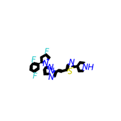 Fc1ccc(F)c([C@H]2C[C@H](F)CN2c2ccc3ncc(/C=C/c4cnc(C5CCNCC5)s4)n3n2)c1